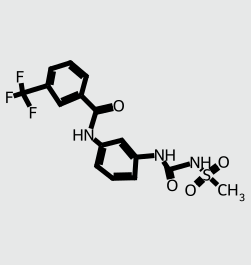 CS(=O)(=O)NC(=O)Nc1cccc(NC(=O)c2cccc(C(F)(F)F)c2)c1